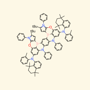 Cc1ccccc1N(c1cc2c3c(c1)N(c1ccccc1)c1cc4c(cc1B3c1cc(C(C)(C)C)n(-c3ccccc3)c1O2)B1c2cc(C(C)(C)C)n(-c3ccccc3)c2Oc2cc(N(c3ccccc3C)c3cccc5c3C(C)(C)CCC5(C)C)cc(c21)N4c1ccccc1)c1cccc2c1C(C)(C)CCC2(C)C